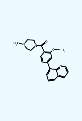 COc1cc(-c2cccc3cccnc23)ccc1C(=O)N1CCN(C)CC1